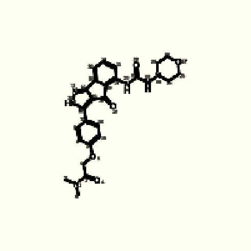 CN(C)C(=O)COc1ccc(-c2[nH]nc3c2C(=O)c2c(NC(=O)NN4CCOCC4)cccc2-3)cc1